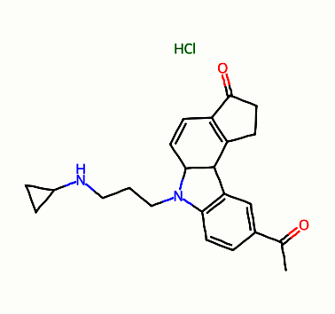 CC(=O)c1ccc2c(c1)C1C3=C(C=CC1N2CCCNC1CC1)C(=O)CC3.Cl